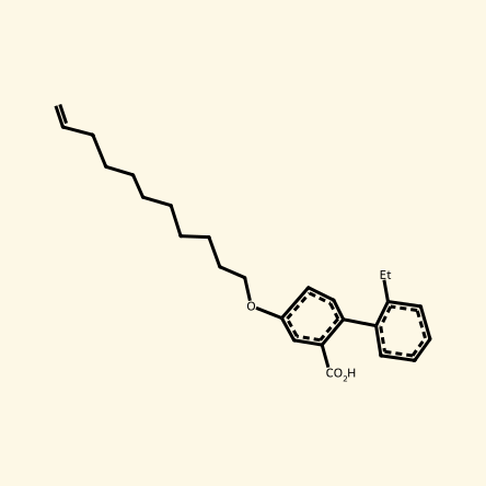 C=CCCCCCCCCCOc1ccc(-c2ccccc2CC)c(C(=O)O)c1